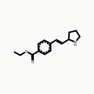 CCOC(=O)c1ccc(C=CC2CCCN2)cc1